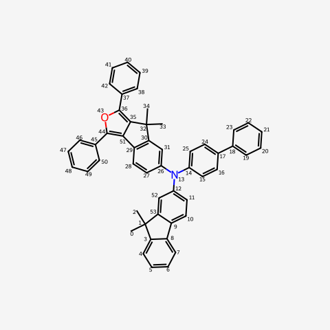 CC1(C)c2ccccc2-c2ccc(N(c3ccc(-c4ccccc4)cc3)c3ccc4c(c3)C(C)(C)c3c(-c5ccccc5)oc(-c5ccccc5)c3-4)cc21